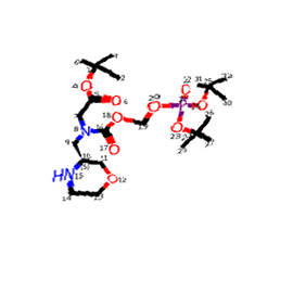 CC(C)(C)OC(=O)CN(C[C@H]1COCCN1)C(=O)OCOP(=O)(OC(C)(C)C)OC(C)(C)C